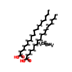 CCCCCCCCCCCCCCCCCC(=O)O.CCCCCCCCCCCCCCCCCC(=O)O.[CaH2].[PbH2]